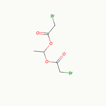 CC(OC(=O)CBr)OC(=O)CBr